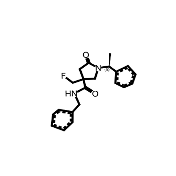 C[C@@H](c1ccccc1)N1CC(CF)(C(=O)NCc2ccccc2)CC1=O